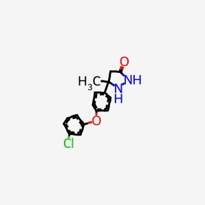 CC1(c2ccc(Oc3cccc(Cl)c3)cc2)CC(=O)NN1